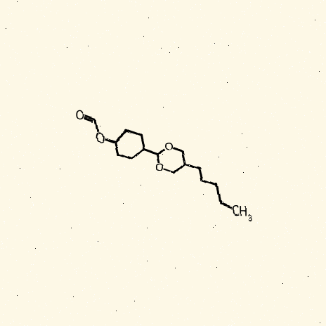 CCCCCC1COC(C2CCC(OC=O)CC2)OC1